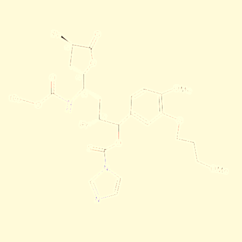 COCCCOc1cc(C(OC(=S)n2ccnc2)[C@@H](C[C@H](NC(=O)OC(C)(C)C)[C@@H]2C[C@@H](C(C)C)C(=O)O2)C(C)C)ccc1OC